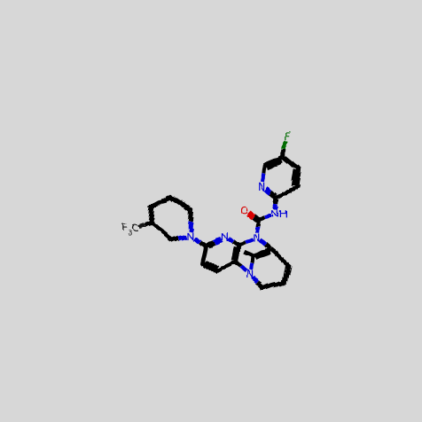 CC1=C2CCCN1c1ccc(N3CCCC(C(F)(F)F)C3)nc1N2C(=O)Nc1ccc(F)cn1